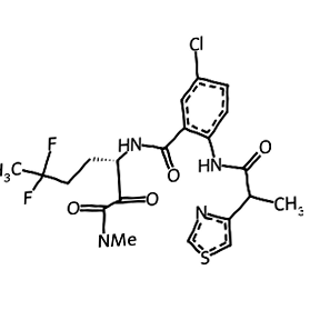 CNC(=O)C(=O)[C@H](CCC(C)(F)F)NC(=O)c1cc(Cl)ccc1NC(=O)C(C)c1cscn1